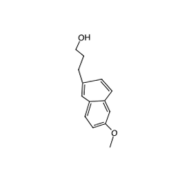 COc1ccc2cc(CCCO)ccc2c1